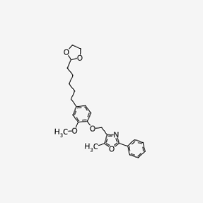 COc1cc(CCCCCC2OCCO2)ccc1OCc1nc(-c2ccccc2)oc1C